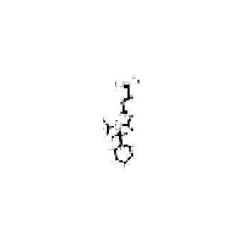 CC(C)[Si](OC(=O)/C=C/C(=O)O)(C(C)C)C(C)(C)C1CCCCC1